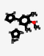 COc1c(C)cc(-c2ccc[cH-]2)cc1C.[Fe+2].c1cc[cH-]c1